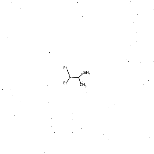 CCN(CC)C(C)[SiH3]